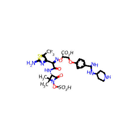 CC1(C)[C@H](NC(=O)/C(=N\O[C@@H](COc2ccc(C(=N)NC3CCNCC3)cc2)C(=O)O)c2nc(N)sc2C(F)(F)F)C(=O)N1OS(=O)(=O)O